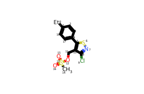 CCc1ccc(-c2snc(Cl)c2COS(C)(=O)=O)cc1